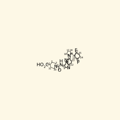 O=C(O)C1CCN(C(=O)Nc2cnc3ccc(N4CCC[C@@H]4c4cc(F)ccc4F)nn23)CC1